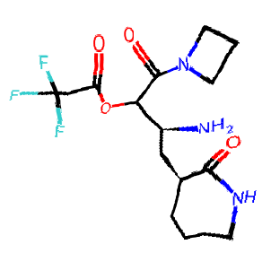 N[C@@H](C[C@@H]1CCCNC1=O)C(OC(=O)C(F)(F)F)C(=O)N1CCC1